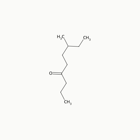 CCCC(=O)CCC(C)CC